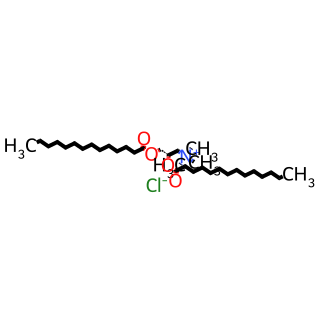 CCCCCCCCCCCCCC(=O)OC[C@H](C[N+](C)(C)C)OC(=O)CCCCCCCCCCCCC.[Cl-]